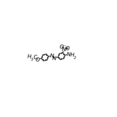 COc1ccc(/N=N/c2ccc(N)c([N+](=O)[O-])c2)cc1